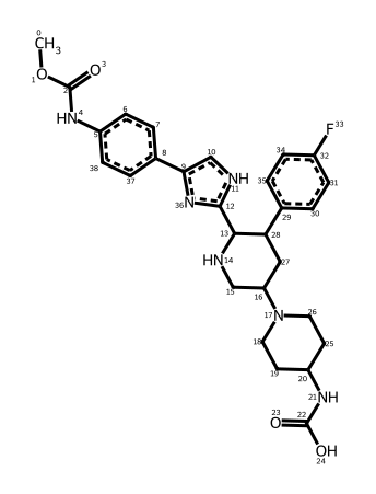 COC(=O)Nc1ccc(-c2c[nH]c(C3NCC(N4CCC(NC(=O)O)CC4)CC3c3ccc(F)cc3)n2)cc1